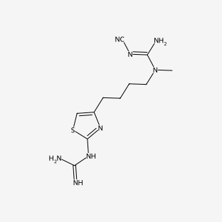 CN(CCCCc1csc(NC(=N)N)n1)C(N)=NC#N